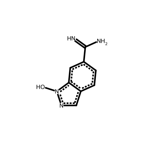 N=C(N)c1ccc2cnn(O)c2c1